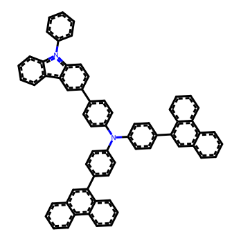 c1ccc(-n2c3ccccc3c3cc(-c4ccc(N(c5ccc(-c6cc7ccccc7c7ccccc67)cc5)c5ccc(-c6cc7ccccc7c7ccccc67)cc5)cc4)ccc32)cc1